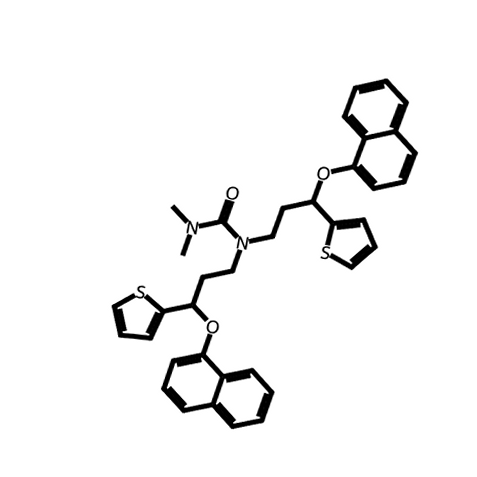 CN(C)C(=O)N(CCC(Oc1cccc2ccccc12)c1cccs1)CCC(Oc1cccc2ccccc12)c1cccs1